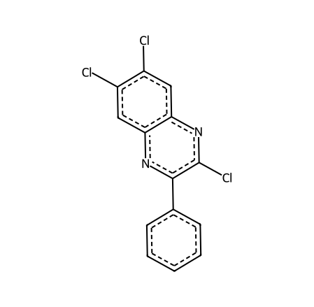 Clc1cc2nc(Cl)c(-c3ccccc3)nc2cc1Cl